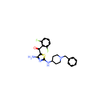 Nc1nc(NC2CCN(Cc3ccccc3)CC2)sc1C(=O)c1c(F)cccc1F